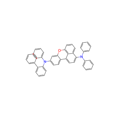 c1ccc(-c2ccccc2N(c2ccccc2)c2ccc3c(c2)Oc2cccc4c(N(c5ccccc5)c5ccccc5)ccc-3c24)cc1